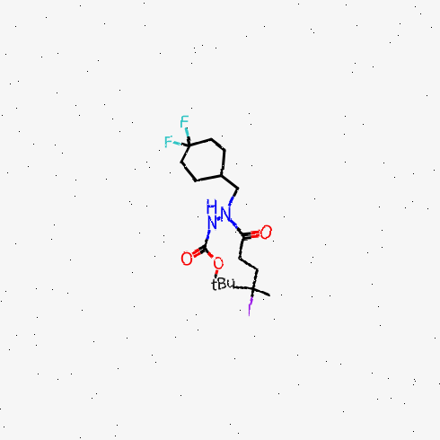 CC(C)(I)CCC(=O)N(CC1CCC(F)(F)CC1)NC(=O)OC(C)(C)C